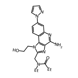 CCC(=O)N(CC)Cc1nc2c(N)nc3cc(-n4cccn4)ccc3c2n1CCO